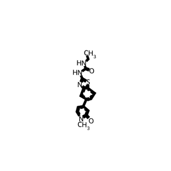 CCNC(=O)Nc1nc2cc(-c3ccn(C)c(=O)c3)ccc2s1